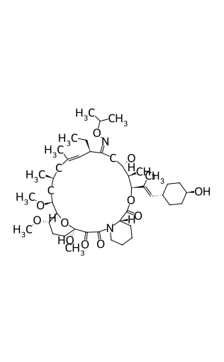 CC[C@@H]1/C=C(\C)C[C@H](C)C[C@H](OC)[C@H]2O[C@@](O)(C(=O)C(=O)N3CCCC[C@H]3C(=O)O[C@H](/C(C)=C/[C@H]3CC[C@H](O)CC3)[C@H](C)[C@@H](O)C/C1=N/OC(C)C)[C@H](C)C[C@@H]2OC